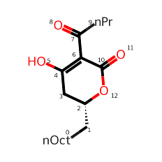 CCCCCCCCC[C@@H]1CC(O)=C(C(=O)CCC)C(=O)O1